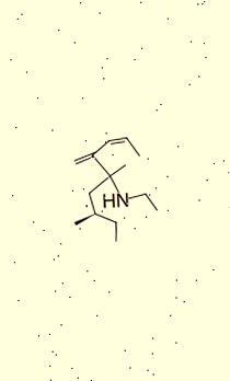 C=C(/C=C\C)C(C)(C[C@H](C)CC)NCC